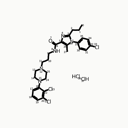 CCCc1nc(C(=O)NCCCN2CCN(c3cccc(Cl)c3Cl)CC2)c(C)n1-c1ccc(Cl)cc1.Cl.Cl